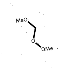 COCOOC